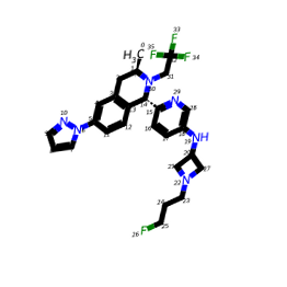 C[C@@H]1Cc2cc(-n3cccn3)ccc2[C@@H](c2ccc(NC3CN(CCCF)C3)cn2)N1CC(F)(F)F